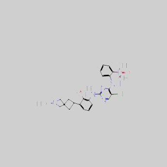 COc1c(Nc2ncc(Cl)c(Nc3ccccc3P(C)(C)=O)n2)cccc1C1CC2(C1)CN(C)C2